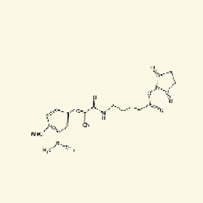 COc1ccc(/C=C(\C#N)C(=O)NCCCCC(=O)ON2C(=O)CCC2=O)cc1N(C)C